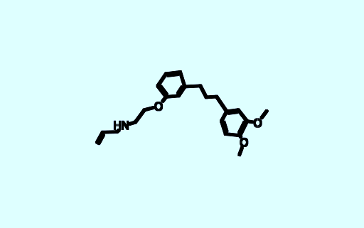 C=CCNCCOc1cccc(CCCc2ccc(OC)c(OC)c2)c1